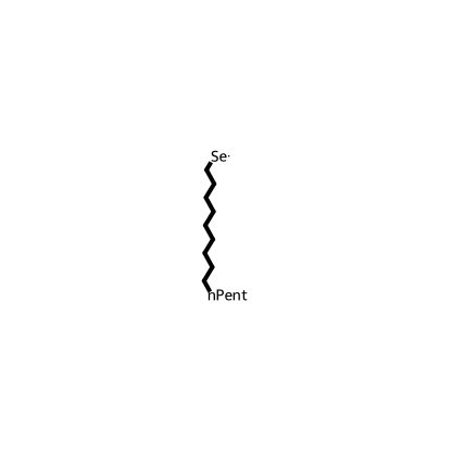 CCCCCCCCCCCCCC[Se]